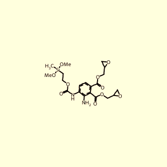 CO[Si](C)(CCOC(=O)Nc1ccc(C(=O)OCC2CO2)c(C(=O)OCC2CO2)c1N)OC